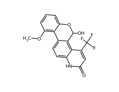 COc1cccc2c1-c1ccc3[nH]c(=O)cc(C(F)(F)F)c3c1C(O)O2